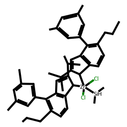 CCCc1ccc2c(c1-c1cc(C)cc(C)c1)C=C(C(C)C)[CH]2[Zr]([Cl])([Cl])([CH]1C(C(C)C)=Cc2c1ccc(CCC)c2-c1cc(C)cc(C)c1)[SiH](C)C